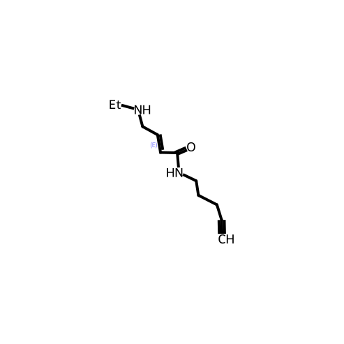 C#CCCCNC(=O)/C=C/CNCC